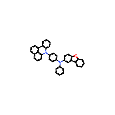 c1ccc(N(c2ccc(N3c4ccccc4-c4cccc5cccc3c45)cc2)c2ccc3oc4ccccc4c3c2)cc1